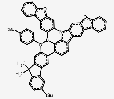 CC(C)(C)c1ccc(N2B3c4cc5c(cc4-n4c6cc7oc8ccccc8c7cc6c6ccc(c3c64)-c3cc4c(cc32)C(C)(C)c2ccc(C(C)(C)C)cc2-4)oc2ccccc25)cc1